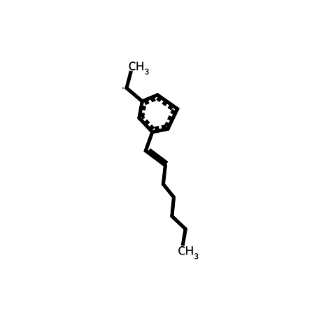 C[CH]c1cccc(/C=C/CCCCC)c1